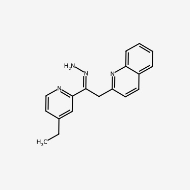 CCc1ccnc(C(Cc2ccc3ccccc3n2)=NN)c1